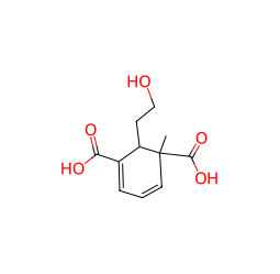 CC1(C(=O)O)C=CC=C(C(=O)O)C1CCO